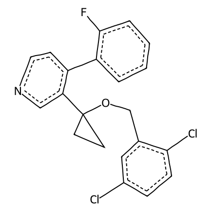 Fc1ccccc1-c1ccncc1C1(OCc2cc(Cl)ccc2Cl)CC1